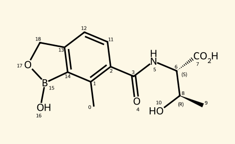 Cc1c(C(=O)N[C@H](C(=O)O)[C@@H](C)O)ccc2c1B(O)OC2